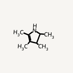 CC1=C(C)C(C)C(C)N1